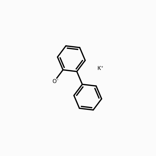 [K+].[O-]c1ccccc1-c1ccccc1